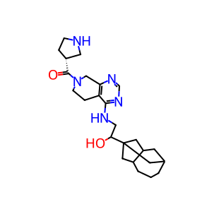 O=C([C@@H]1CCNC1)N1CCc2c(ncnc2NCC(O)C23CC4CCCC(C2)C(C4)C3)C1